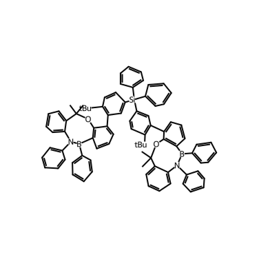 CC(C)(C)c1ccc([Si](c2ccccc2)(c2ccccc2)c2ccc(C(C)(C)C)c(-c3cccc4c3OC(C)(C)c3ccccc3N(c3ccccc3)B4c3ccccc3)c2)cc1-c1cccc2c1OC(C)(C)c1ccccc1N(c1ccccc1)B2c1ccccc1